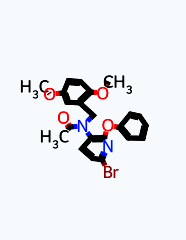 COc1ccc(OC)c(CN(C(C)=O)c2ccc(Br)nc2Oc2ccccc2)c1